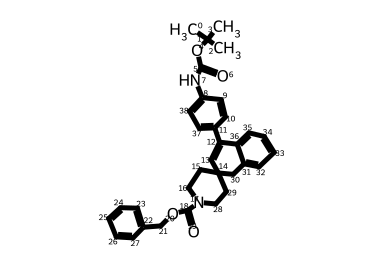 CC(C)(C)OC(=O)Nc1ccc(C2=CC3(CCN(C(=O)OCc4ccccc4)CC3)Cc3ccccc32)cc1